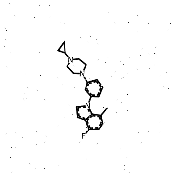 Cc1ccc(F)c2ccn(-c3cccc(N4CCN(C5CC5)CC4)c3)c12